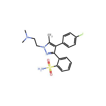 CN(C)CCn1nc(-c2ccccc2S(N)(=O)=O)c(-c2ccc(F)cc2)c1C(F)(F)F